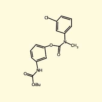 CC(C)COC(=O)Nc1cccc(OC(=O)N(C)c2cccc(Cl)c2)c1